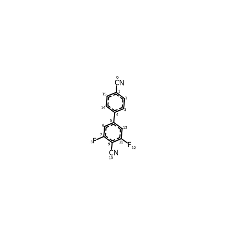 N#Cc1ccc(-c2cc(F)c(C#N)c(F)c2)cc1